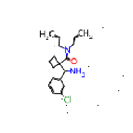 C=CCN(CC=C)C(=O)C1(C(N)c2cccc(Cl)c2)CCC1